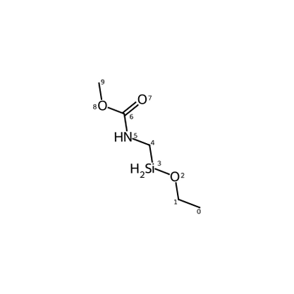 CCO[SiH2]CNC(=O)OC